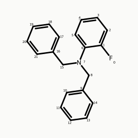 Fc1cc[c]cc1N(Cc1ccccc1)Cc1ccccc1